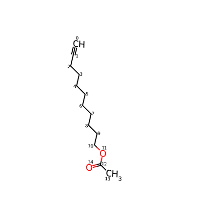 C#CCCCCCCCCCOC(C)=O